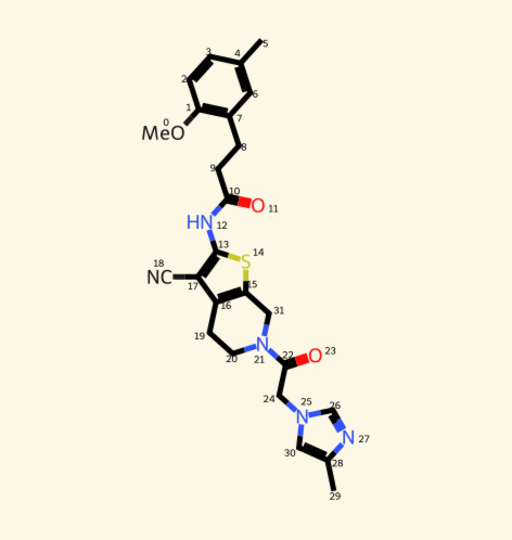 COc1ccc(C)cc1CCC(=O)Nc1sc2c(c1C#N)CCN(C(=O)Cn1cnc(C)c1)C2